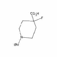 CC(C)(C)N1CCC(F)(C(=O)O)CC1